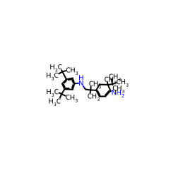 CC(C)(CNc1cc(C(C)(C)C)cc(C(C)(C)C)c1)C1=CC=C(N)C(C)(C(C)(C)C)C1